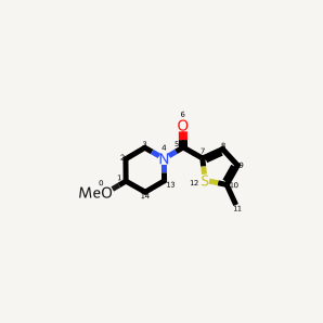 COC1CCN(C(=O)c2ccc(C)s2)CC1